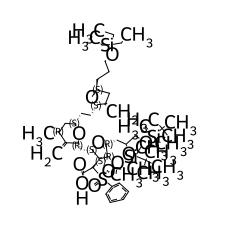 C=C1C[C@H](CCCO[Si](CC)(CC)CC)O[C@H]1CC[C@H]1C[C@@H](C)C(=C)[C@@H](C[C@@H]2O[C@H](CC(CO[Si](C)(C)C(C)(C)C)O[Si](C)(C)C(C)(C)C)[C@H](OC)[C@H]2C(C(=O)O)S(=O)(=O)c2ccccc2)O1